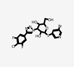 OCC1OC(Sc2cncc(Br)c2)C(O)C(n2cc(-c3cc(F)c(Cl)c(F)c3)nn2)C1O